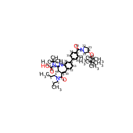 CCCN(CCC)C(=O)C1=Cc2ccc(-c3ccc(C(=O)N4CCC(O[Si](C)(C)C(C)(C)C)C4)cc3)cc2N=C(N(C(=O)O)C(C)(C)C)C1